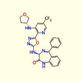 O=C1Nc2ccccc2C(c2ccccc2)=N[C@@H]1Nc1nnc(-c2ncc(C(F)(F)F)cc2N[C@@H]2CCOC2)o1